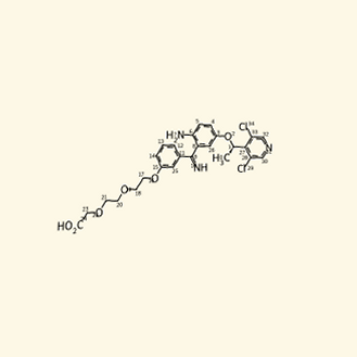 C[C@@H](Oc1ccc(N)c(C(=N)c2cccc(OCCOCCOCC(=O)O)c2)c1)c1c(Cl)cncc1Cl